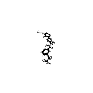 COc1cccc(-c2ccc3c(NC(=O)c4cccc(C(Cl)C(N)=O)c4)n[nH]c3c2)c1F